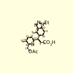 CCn1nnc2c(C)c(/C(=C\C(=O)O)c3ccc(C)c(COC(C)=O)n3)ccc21